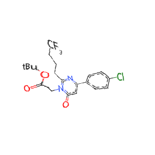 CC(C)(C)OC(=O)Cn1c(CCCC(F)(F)F)nc(-c2ccc(Cl)cc2)cc1=O